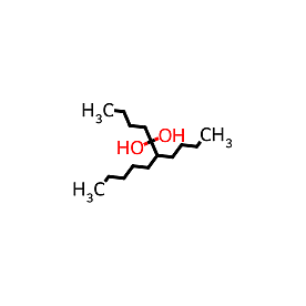 CCCCCC(CCCC)C(O)(O)CCCC